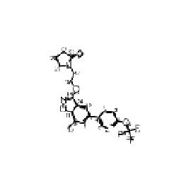 C=C(/C=C\C(=C/C)c1cc(C)c2onc(OCCN3CCCC3=O)c2c1)OC(F)(F)F